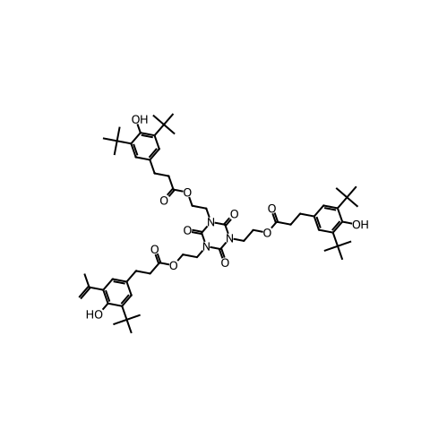 C=C(C)c1cc(CCC(=O)OCCn2c(=O)n(CCOC(=O)CCc3cc(C(C)(C)C)c(O)c(C(C)(C)C)c3)c(=O)n(CCOC(=O)CCc3cc(C(C)(C)C)c(O)c(C(C)(C)C)c3)c2=O)cc(C(C)(C)C)c1O